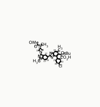 COC(=O)N(C)C1CN(c2nn(C)c3ccc(-c4nc5cc(C)c([C@H](OC(C)(C)C)C(=O)O)c(-c6ccc(Cl)cc6)c5s4)cc23)C1